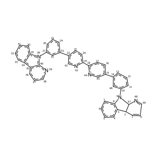 C1=CC2c3ccccc3N(c3cccc(-c4ccc(-c5ccc(-c6cccc(-n7c8ccccc8c8cccnc87)c6)cn5)nc4)c3)C2N=C1